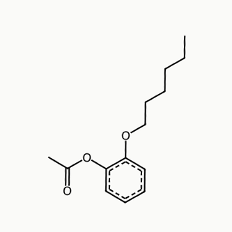 CCCCCCOc1ccccc1OC(C)=O